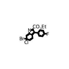 CCOC(=O)C1=NC2=CC(Cl)(Br)C=CC2=C1c1ccc(F)cc1